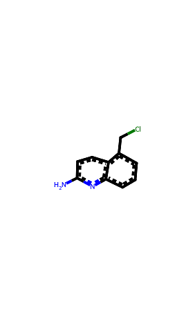 Nc1ccc2c(CCl)cccc2n1